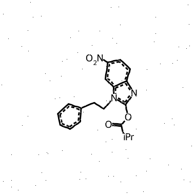 CC(C)C(=O)Oc1nc2ccc([N+](=O)[O-])cc2n1CCc1ccccc1